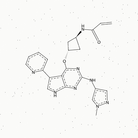 C=CC(=O)N[C@H]1C[C@H](Oc2nc(Nc3cnn(C)c3)nc3[nH]cc(-c4ccccn4)c23)C1